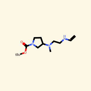 C=CNCCN(C)C1CCN(C(=O)OC(C)(C)C)C1